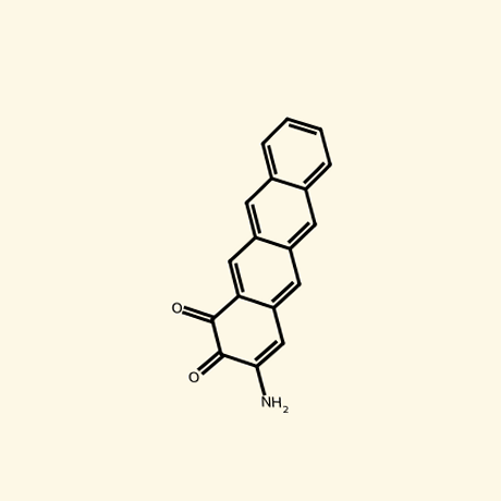 NC1=Cc2cc3cc4ccccc4cc3cc2C(=O)C1=O